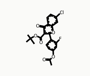 CC(=O)Oc1ccc(-c2oc3cc(Cl)ccc3c(=O)c2C(=O)OC(C)(C)C)c(F)c1